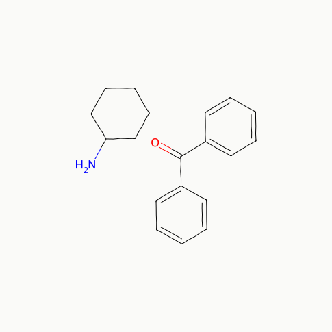 NC1CCCCC1.O=C(c1ccccc1)c1ccccc1